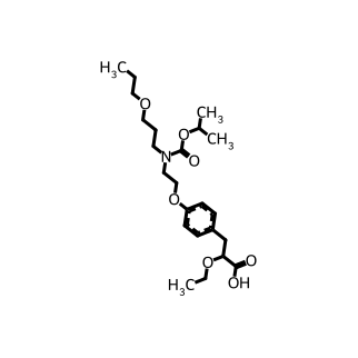 CCCOCCCN(CCOc1ccc(CC(OCC)C(=O)O)cc1)C(=O)OC(C)C